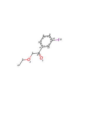 CCOCC(=O)c1cccc(I)c1